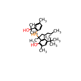 CCCCCC(C)(Pc1ccc(C)cc1C(C)(C)O)c1cc(C(C)(C)C)cc(C)c1O